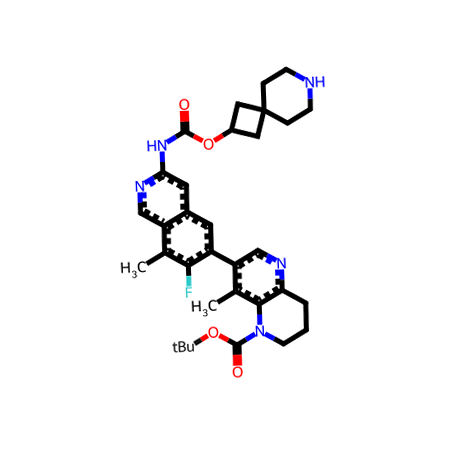 Cc1c(-c2cc3cc(NC(=O)OC4CC5(CCNCC5)C4)ncc3c(C)c2F)cnc2c1N(C(=O)OC(C)(C)C)CCC2